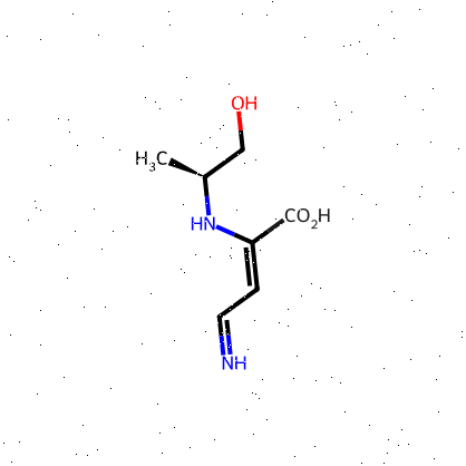 C[C@@H](CO)N/C(=C\C=N)C(=O)O